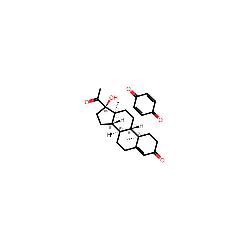 CC(=O)[C@@]1(O)CC[C@H]2[C@@H]3CCC4=CC(=O)CC[C@]4(C)[C@H]3CC[C@@]21C.O=C1C=CC(=O)C=C1